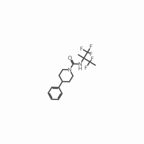 CC(F)(F)C(C)(NC(=O)N1CCC(c2ccccc2)CC1)C(F)(F)F